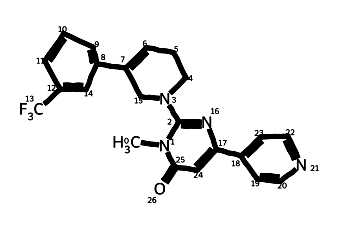 Cn1c(N2CCC=C(c3cccc(C(F)(F)F)c3)C2)nc(-c2ccncc2)cc1=O